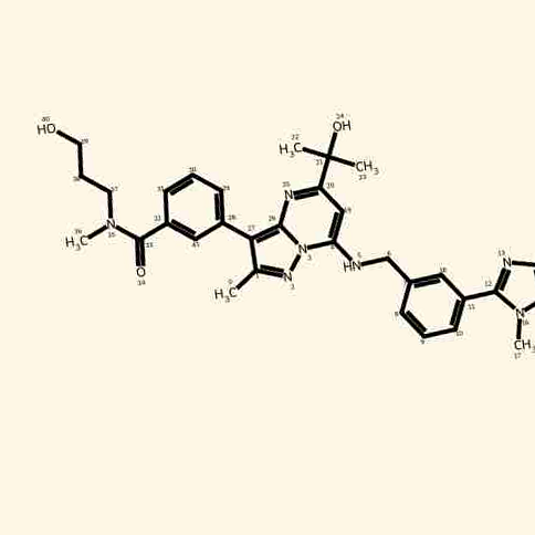 Cc1nn2c(NCc3cccc(-c4nccn4C)c3)cc(C(C)(C)O)nc2c1-c1cccc(C(=O)N(C)CCCO)c1